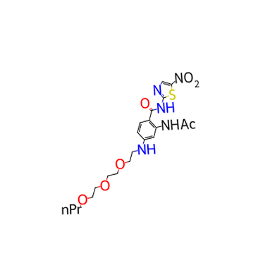 CCCOCCOCCOCCNc1ccc(C(=O)Nc2ncc([N+](=O)[O-])s2)c(NC(C)=O)c1